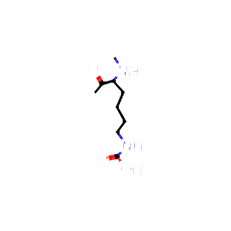 CNC(CCCCNC(=O)O)C(C)=O